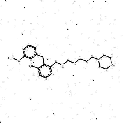 COc1cccc(Cc2c(N)ccnc2COCCOCCN2CCOCC2)c1